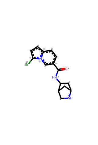 O=C(NC1CC2CC1CN2)c1ccc2ccc(Br)n2c1